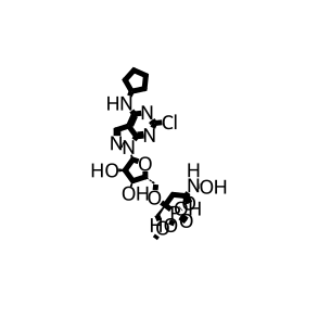 COC[C@](CC(=O)NO)(OC[C@H]1O[C@@H](n2ncc3c(NC4CCCC4)nc(Cl)nc32)[C@H](O)[C@H]1O)P(=O)(O)O